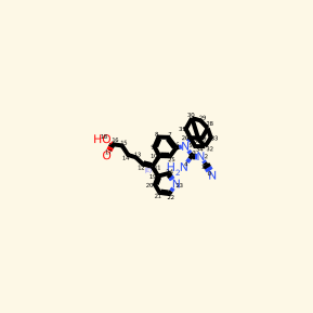 N#CN=C(N)N(c1cccc(/C(=C\CCCC(=O)O)c2cccnc2)c1)C12CC3CC(CC(C3)C1)C2